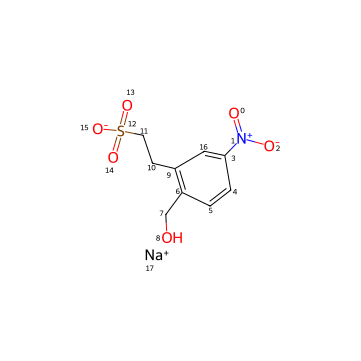 O=[N+]([O-])c1ccc(CO)c(CCS(=O)(=O)[O-])c1.[Na+]